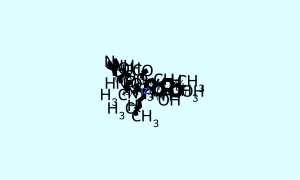 CC(=O)O[C@H]1C[C@@]2(C)[C@@H](C[C@@H](O)[C@H]3[C@@]4(C)CC[C@@H](O)[C@@H](C)[C@@H]4CC[C@@]32C)/C1=C(\CCC=C(C)C)C(=O)N[C@@H](C)C(=O)N[C@@H](Cc1cnc[nH]1)C(=O)O